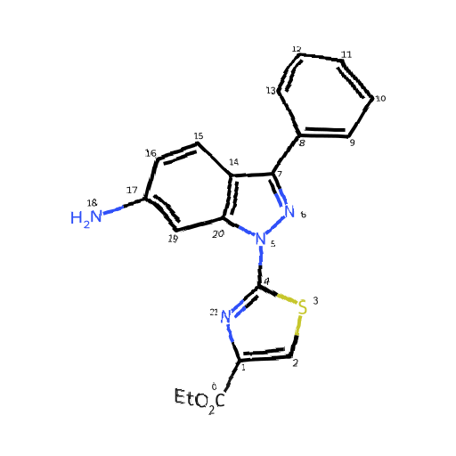 CCOC(=O)c1csc(-n2nc(-c3ccccc3)c3ccc(N)cc32)n1